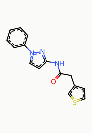 O=C(Cc1ccsc1)Nc1ccn(-c2ccccc2)n1